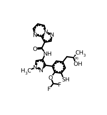 C[C@@H](O)Cc1cc(S)c(OC(F)F)c(-c2nn(C)cc2NC(=O)c2cnn3cccnc23)c1